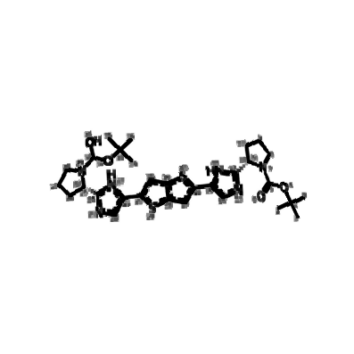 CC(C)(C)OC(=O)N1CCC[C@H]1c1ncc(-c2cc3sc(-c4cnc([C@@H]5CCCN5C(O)OC(C)(C)C)[nH]4)cc3s2)[nH]1